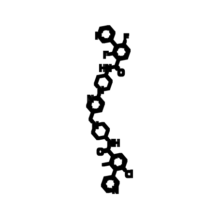 Cc1c(C(=O)NC2CCN(Cc3ccc(N4CCC(NC(=O)c5ccc(F)c(-c6cccnc6)c5F)CC4)nc3)CC2)ccc(Cl)c1-c1cccnc1